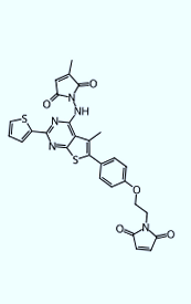 CC1=CC(=O)N(Nc2nc(-c3cccs3)nc3sc(-c4ccc(OCCN5C(=O)C=CC5=O)cc4)c(C)c23)C1=O